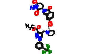 COC(=O)c1nn(-c2cccc(C(F)(F)F)c2)cc1CN1CCCC[C@H]1COc1ccc2c(c1)CN(C1CCC(=O)NC1=O)C2=O